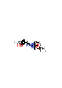 CCOC(=O)c1c(C)nc(NCCCc2ccc(C)c(O)c2)nc1C